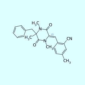 Cc1ccc(/C=C2/C(=O)N(C)C(C)(Cc3ccccc3)C(=O)N2C)c(C#N)c1